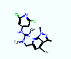 CCN(Cc1cc(C(C)C)c2c(C)nn(C)c2n1)/C(=N/C#N)Nc1cc(Cl)nc(Cl)c1